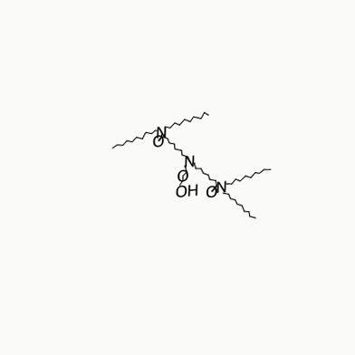 CCCCCCCCCCN(CCCCCCCCCC)C(=O)CCCCCCCN(CCCCCCCC(=O)N(CCCCCCCCCC)CCCCCCCCCC)CCOCCO